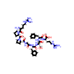 N=C(N)NCCC[C@H](NC(=O)[C@H](Cc1ccccc1)NC(=O)[C@H](CO)NC(=O)[C@H](Cc1ccccc1)NC(=O)CNC(=O)[C@@H]1CCCN1C(=O)[C@@H]1CCCN1C(=O)[C@@H](N)CCCNC(=N)N)C(=O)O